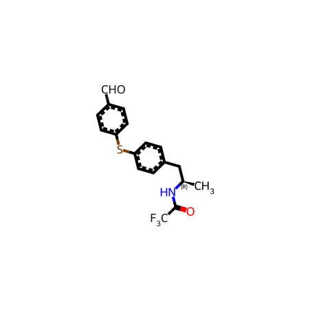 C[C@H](Cc1ccc(Sc2ccc(C=O)cc2)cc1)NC(=O)C(F)(F)F